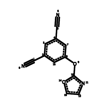 N#Cc1cc(C#N)cc(Oc2n[c]co2)c1